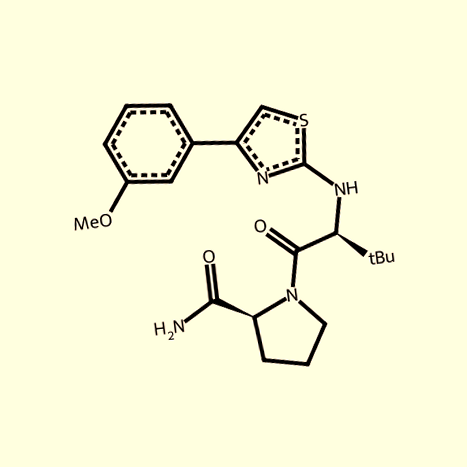 COc1cccc(-c2csc(N[C@H](C(=O)N3CCC[C@H]3C(N)=O)C(C)(C)C)n2)c1